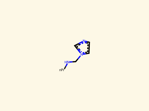 CCCNCn1ccnc1